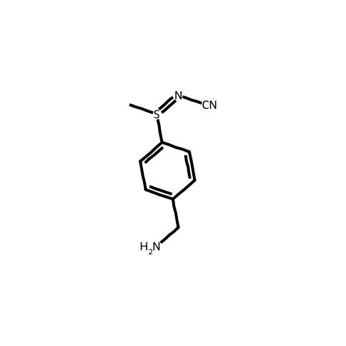 C/S(=N/C#N)c1ccc(CN)cc1